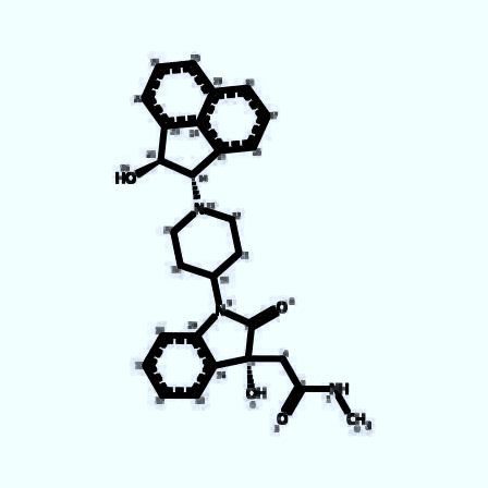 CNC(=O)C[C@]1(O)C(=O)N(C2CCN([C@H]3c4cccc5cccc(c45)[C@@H]3O)CC2)c2ccccc21